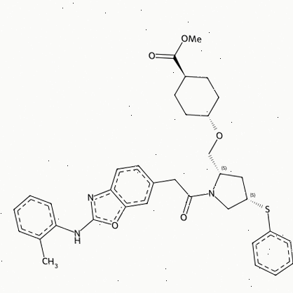 COC(=O)[C@H]1CC[C@H](OC[C@@H]2C[C@H](Sc3ccccc3)CN2C(=O)Cc2ccc3nc(Nc4ccccc4C)oc3c2)CC1